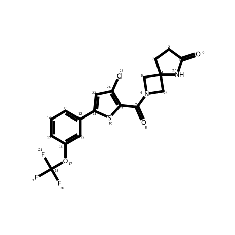 O=C1CCC2(CN(C(=O)c3sc(-c4cccc(OC(F)(F)F)c4)cc3Cl)C2)N1